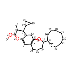 COC(=O)[C@@H](C)C(c1ccc2c(c1)OC(C1CCCCCCCC1)CCC2)C1CC1